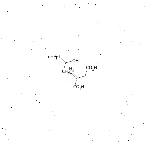 C=C(CC(=O)O)C(=O)O.CCCCCCCC(C)O